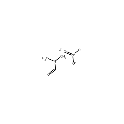 CN(C)C=O.O=[N+]([O-])[O-].[Li+]